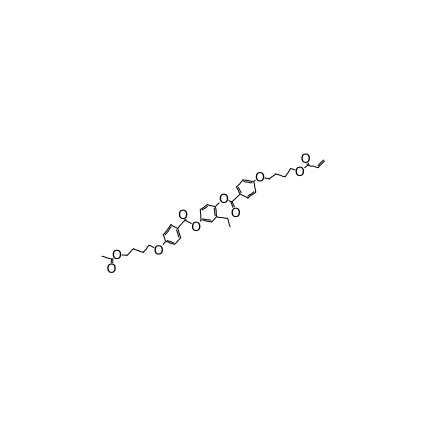 C=CC(=O)OCCCCOc1ccc(C(=O)Oc2ccc(OC(=O)c3ccc(OCCCCOC(C)=O)cc3)cc2CC)cc1